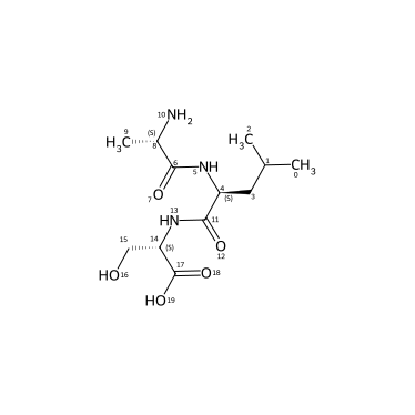 CC(C)C[C@H](NC(=O)[C@H](C)N)C(=O)N[C@@H](CO)C(=O)O